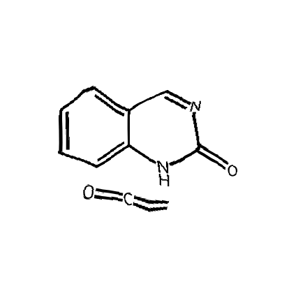 C=C=O.O=c1ncc2ccccc2[nH]1